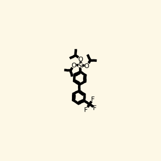 CC(C)O[Si](OC(C)C)(OC(C)C)c1ccc(-c2cccc(C(F)(F)F)c2)cc1